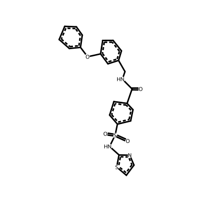 O=C(NCc1cccc(Oc2ccccc2)c1)c1ccc(S(=O)(=O)Nc2nccs2)cc1